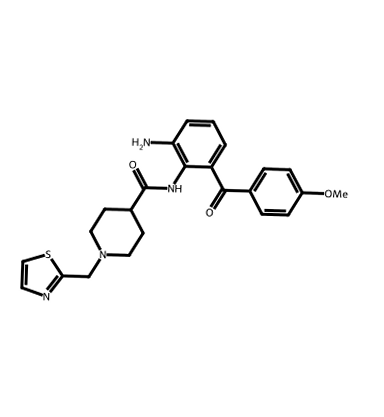 COc1ccc(C(=O)c2cccc(N)c2NC(=O)C2CCN(Cc3nccs3)CC2)cc1